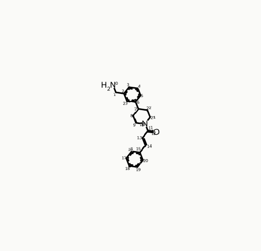 NCc1cccc(C2CCN(C(=O)C=Cc3ccccc3)CC2)c1